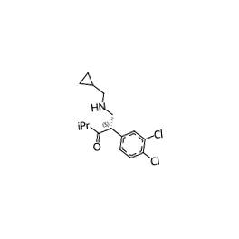 CC(C)C(=O)[C@H](CNCC1CC1)c1ccc(Cl)c(Cl)c1